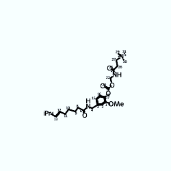 COc1cc(CNC(=O)CCCC/C=C/C(C)C)ccc1OC(=O)OCNC(=O)CC[N+](C)(C)C